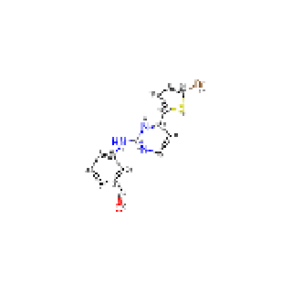 O=Cc1cccc(Nc2nccc(-c3ccc(Br)s3)n2)c1